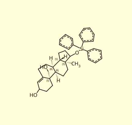 C[C@]12CC[C@@H]3[C@@H](CCC4=CC(O)CC[C@@]43CO)[C@@H]1CCC2O[Si](c1ccccc1)(c1ccccc1)c1ccccc1